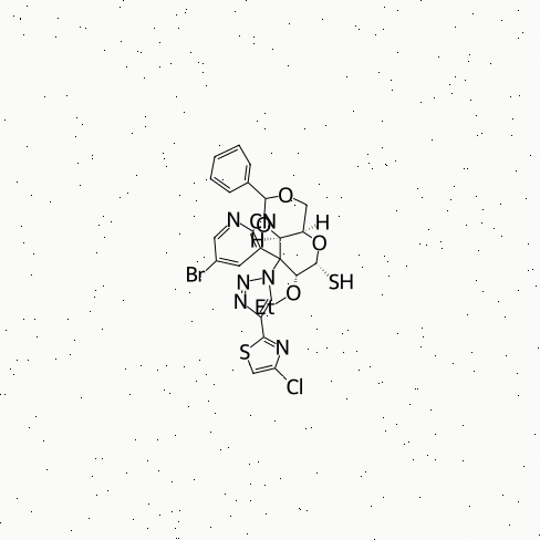 CCO[C@H]1[C@@H](S)O[C@@H]2COC(c3ccccc3)O[C@@H]2C1(c1cc(Br)cnc1C#N)n1cc(-c2nc(Cl)cs2)nn1